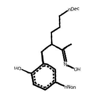 CCCCCCCCCCCCCC(Cc1cc(CCCCCCCCC)ccc1O)C(C)=NO